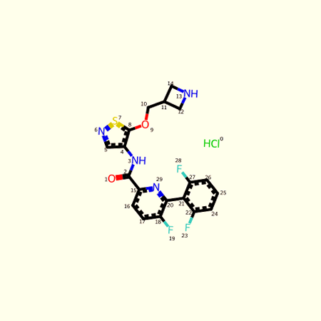 Cl.O=C(Nc1cnsc1OCC1CNC1)c1ccc(F)c(-c2c(F)cccc2F)n1